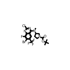 CN(c1nc(Cl)nc2c(F)c(Br)c(C(F)(F)F)cc12)C1CCN(C(=O)OC(C)(C)C)C1